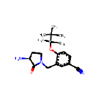 CC(C)(C)[Si](C)(C)Oc1ccc(C#N)cc1CN1CC[C@H](N)C1=O